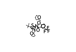 CC(C)(C)c1cn(C[C@H]2CCCO2)c(=NC(=O)c2cc(C(F)(F)F)ccc2OC[C@H]2CCCO2)s1